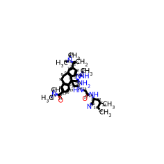 C=C(c1ccc2c(c1)CCc1cc(C(=O)N(C)C)ccc1C2(CCNCC(=O)NC(C#N)C[C@@H](C)CC)/C(N)=N/NC)N(C)C